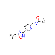 CC1(C(=O)NCc2ccc(-c3noc(C(F)(F)F)n3)cn2)CC1